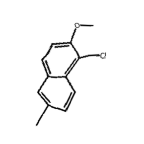 COc1ccc2cc(C)ccc2c1Cl